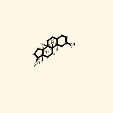 C[C@]12CC(C#N)=CCC1CC[C@@H]1[C@H]2CC[C@]2(C)C(O)CC[C@@H]12